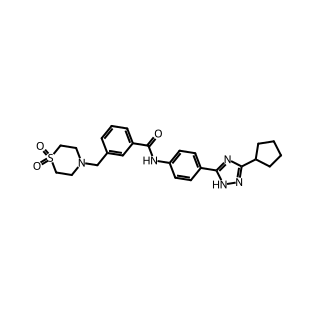 O=C(Nc1ccc(-c2nc(C3CCCC3)n[nH]2)cc1)c1cccc(CN2CCS(=O)(=O)CC2)c1